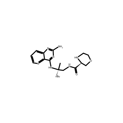 CCCC[C@](C)(CNC(=O)[C@@H]1COCCN1)Nc1nc(N)nc2cccnc12